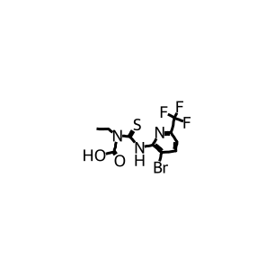 CCN(C(=O)O)C(=S)Nc1nc(C(F)(F)F)ccc1Br